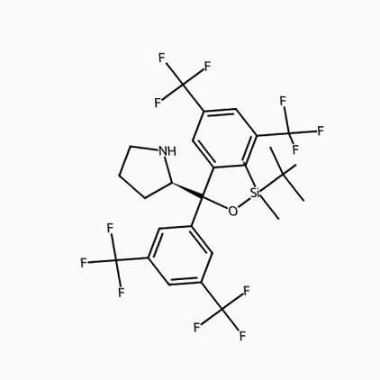 CC(C)(C)[Si](C)(C)OC(c1cc(C(F)(F)F)cc(C(F)(F)F)c1)(c1cc(C(F)(F)F)cc(C(F)(F)F)c1)[C@H]1CCCN1